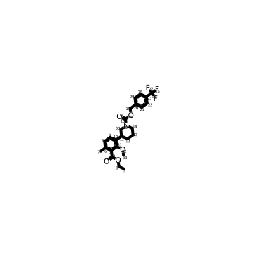 CCOC(=O)c1c(C)ccc(C2CCCN(C(=O)OCc3ccc(C(F)(F)F)cc3)C2)c1OC